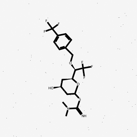 CN(C)C(=N)SC1C[C@@H](O)C[C@@H]([C@@H](OCc2ccc(C(F)(F)F)cc2)C(F)(F)F)O1